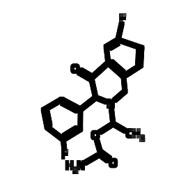 CC(OC(N)=O)N1Cc2ccc(F)cc2C(=O)C1c1cccc(F)c1